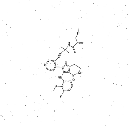 C=C(COC)C(=O)NC(C)(C)C#Cc1cnccc1-c1[nH]c2c(c1Nc1cccc(F)c1OC)C(=O)NCC2